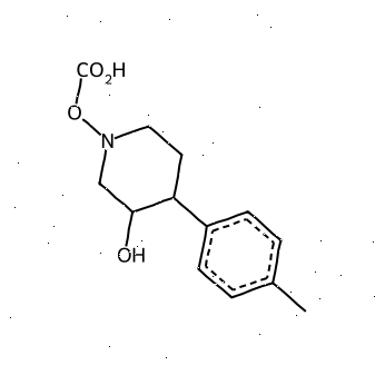 Cc1ccc(C2CCN(OC(=O)O)CC2O)cc1